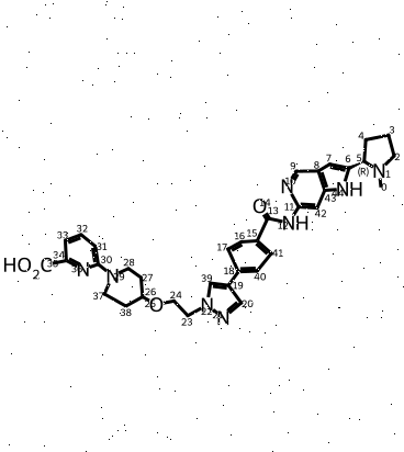 CN1CCC[C@@H]1c1cc2cnc(NC(=O)c3ccc(-c4cnn(CCOC5CCN(c6cccc(C(=O)O)n6)CC5)c4)cc3)cc2[nH]1